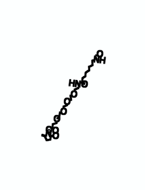 C=C1CCC(=O)N1OC(=O)CCOCCOCCOCCOCCNC(=O)CCCCCCCNC=O